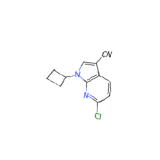 N#Cc1cn(C2CCC2)c2nc(Cl)ccc12